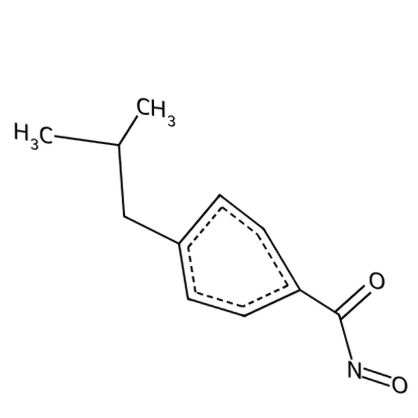 CC(C)Cc1ccc(C(=O)N=O)cc1